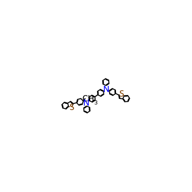 CC1(N(c2ccccc2)c2ccc(-c3ccc(N(c4ccccc4)c4ccc(-c5cc6ccccc6s5)cc4)cc3)cc2)C=CC(c2cc3ccccc3s2)=CC1